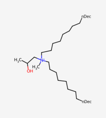 CCCCCCCCCCCCCCCCCC[N+](C)(CCCCCCCCCCCCCCCCCC)CC(C)O